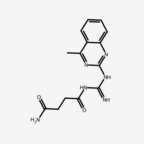 Cc1nc(NC(=N)NC(=O)CCC(N)=O)nc2ccccc12